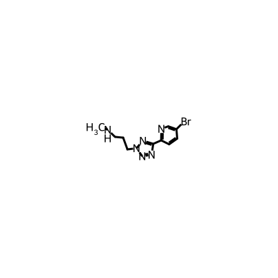 CNCCCn1nnc(-c2ccc(Br)cn2)n1